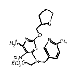 CCOC(=O)CN(Cc1ccc(C)nc1)c1nc(OCC2CCCO2)nc(N)c1[N+](=O)[O-]